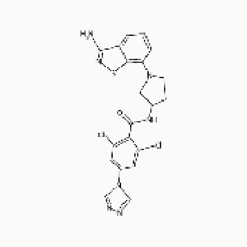 Nc1nsc2c(N3CCC(NC(=O)c4c(Cl)cc(-n5cnnc5)cc4Cl)C3)cccc12